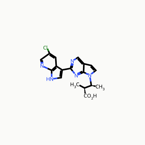 C[C@H](C(=O)O)[C@H](C)n1ccc2cnc(-c3c[nH]c4ncc(Cl)cc34)nc21